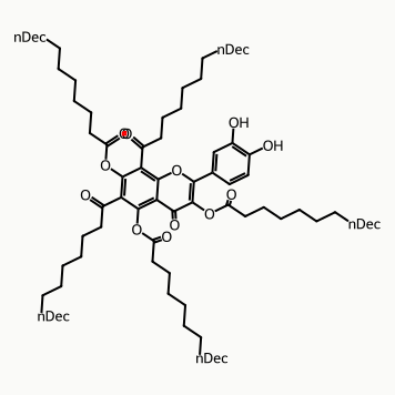 CCCCCCCCCCCCCCCCC(=O)Oc1c(C(=O)CCCCCCCCCCCCCCCC)c(OC(=O)CCCCCCCCCCCCCCCC)c2c(=O)c(OC(=O)CCCCCCCCCCCCCCCC)c(-c3ccc(O)c(O)c3)oc2c1C(=O)CCCCCCCCCCCCCCCC